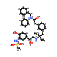 CC(C)(Cc1cccc(CC(=O)NCc2ccccc2-c2ccccc2)c1)NC[C@@H](O)c1ccc(O)c(NS(C)(=O)=O)c1